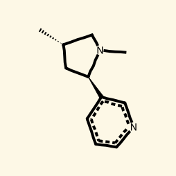 C[C@H]1C[C@H](c2cccnc2)N(C)C1